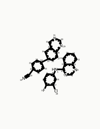 Fc1ccc(Nc2ncnc3ccccc23)cc1Cl.N#Cc1ccc(-c2ccc3ncncc3c2)cc1